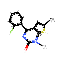 Cc1cc2c(-c3ccccc3F)nc(=O)n(C)c2s1